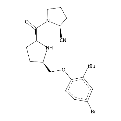 CC(C)(C)c1cc(Br)ccc1OC[C@H]1CC[C@@H](C(=O)N2CCC[C@H]2C#N)N1